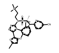 COc1cccc(OC)c1-n1c(-c2ccc(C)o2)nnc1N(CC[Si](C)(C)C)S(=O)(=O)[C@H](C)[C@H](O)c1ccc(C#N)cn1